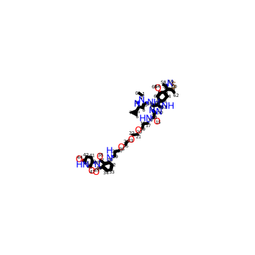 CCn1nc(C2CC2)cc1Nc1nc(C(=O)NCCCOCCOCCOCCCNc2cccc3c2C(=O)N(C2CCC(=O)NC2=O)C3=O)nc2[nH]c3cc(-c4c(C)nsc4C)c(OC)cc3c12